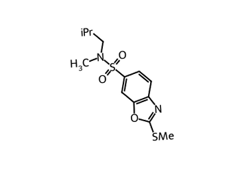 CSc1nc2ccc(S(=O)(=O)N(C)CC(C)C)cc2o1